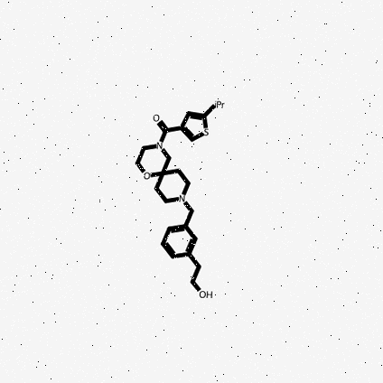 CC(C)c1cc(C(=O)N2CCOC3(CCN(Cc4cccc(CCO)c4)CC3)C2)cs1